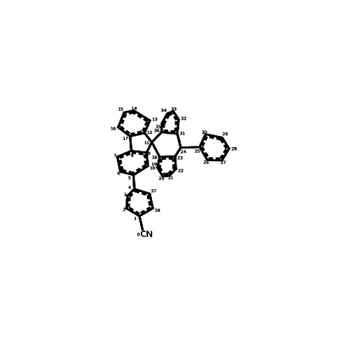 N#Cc1ccc(-c2ccc3c(c2)C2(c4ccccc4-3)c3ccccc3C(c3ccccc3)c3ccccc32)cc1